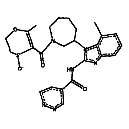 CC1=C(C(=O)N2CCCCC(n3c(NC(=O)c4ccnnc4)nc4cccc(C)c43)C2)[S+]([O-])CCO1